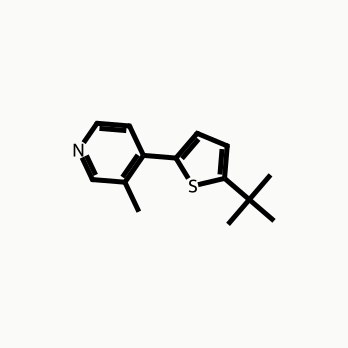 Cc1cnccc1-c1ccc(C(C)(C)C)s1